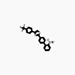 O=[N+]([O-])c1ccccc1-c1ccc(-c2nc(-c3ccc(C(F)(F)F)cc3)cs2)cc1